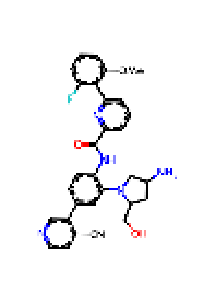 COc1cccc(F)c1-c1cccc(C(=O)Nc2ccc(-c3cnccc3C#N)cc2N2CC(N)CC2CO)n1